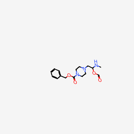 CNC(CN1CCN(C(=O)OCc2ccccc2)CC1)OC=O